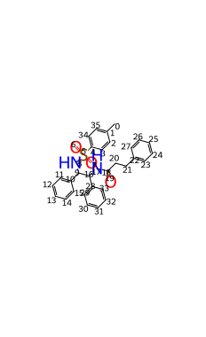 Cc1ccc(S(=O)(=O)NC(c2ccccc2)C(NC(=O)CCc2ccccc2)c2ccccc2)cc1